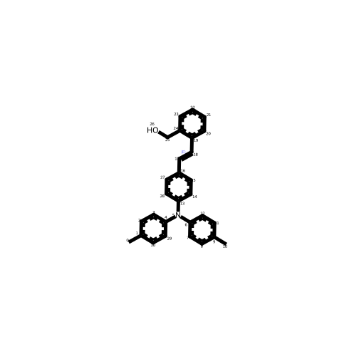 Cc1ccc(N(c2ccc(C)cc2)c2ccc(/C=C/c3ccccc3CO)cc2)cc1